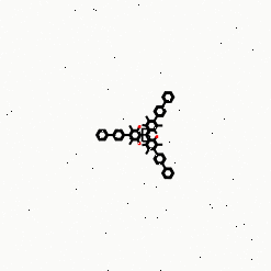 Cc1c(C)c(-c2ccc(-c3ccccc3)cc2)c(C)c(C)c1B(c1c(C)c(C)c(-c2ccc(-c3ccccc3)cc2)c(C)c1C)c1c(C)c(C)c(-c2ccc(-c3ccccc3)cc2)c(C)c1C